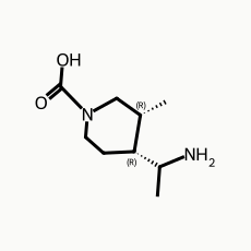 CC(N)[C@@H]1CCN(C(=O)O)C[C@@H]1C